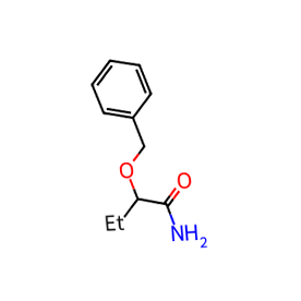 CCC(OCc1ccccc1)C(N)=O